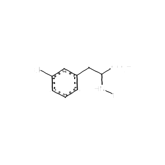 O=C(O)C(Cc1cccc(Cl)c1)NF